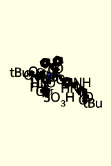 Cc1sc(NC(=O)OC(C)(C)C)nc1/C(=N/O[C@@H](COc1ccc(C(=N)N[C@@H]2CCN(C(=O)OC(C)(C)C)C2)cc1)C(=O)OC(c1ccccc1)c1ccccc1)C(=O)N[C@@H]1C(=O)N(S(=O)(=O)O)[C@H]1C